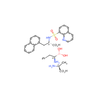 CC(C)C[C@H](N)B(O)O.C[C@H](N)C(=O)O.O=C(O)[C@H](Cc1cccc2ccccc12)NS(=O)(=O)c1cccc2cccnc12